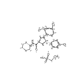 CCS(=O)(=O)O.O=C(NN1CCCCC1)C1=NN(c2ccc(Cl)cc2Cl)[C@H](c2ccc(Cl)cc2)C1